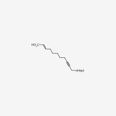 CCCCCCCCC#CCCCCCC=CC(=O)O